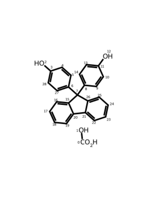 O=C(O)O.Oc1ccc(C2(c3ccc(O)cc3)c3ccccc3-c3ccccc32)cc1